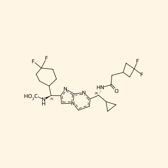 O=C(O)N[C@H](c1cn2ccc([C@H](NC(=O)CC3CC(F)(F)C3)C3CC3)nc2n1)C1CCC(F)(F)CC1